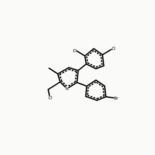 Cc1cc(-c2ccc(Cl)cc2Cl)c(-c2ccc(Br)cc2)nc1CCl